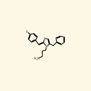 NCCCN1C(Cc2ccccc2)=CS/C1=C\c1ccc(F)cc1